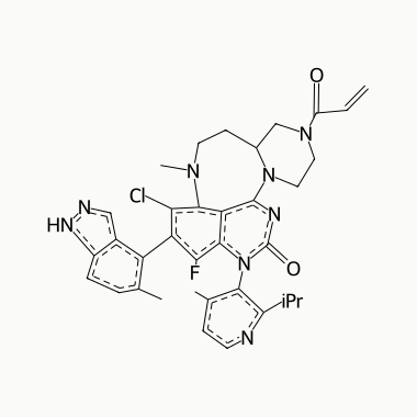 C=CC(=O)N1CCN2c3nc(=O)n(-c4c(C)ccnc4C(C)C)c4c(F)c(-c5c(C)ccc6[nH]ncc56)c(Cl)c(c34)N(C)CCC2C1